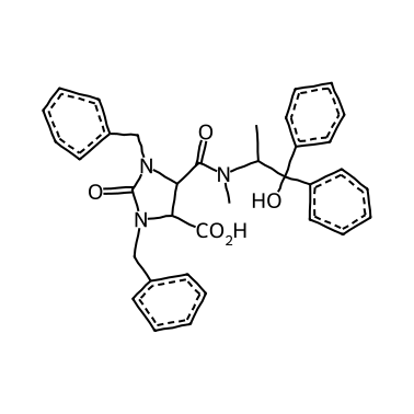 CC(N(C)C(=O)C1C(C(=O)O)N(Cc2ccccc2)C(=O)N1Cc1ccccc1)C(O)(c1ccccc1)c1ccccc1